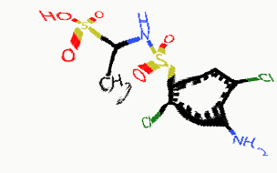 CC(NS(=O)(=O)c1cc(Cl)c(N)cc1Cl)S(=O)(=O)O